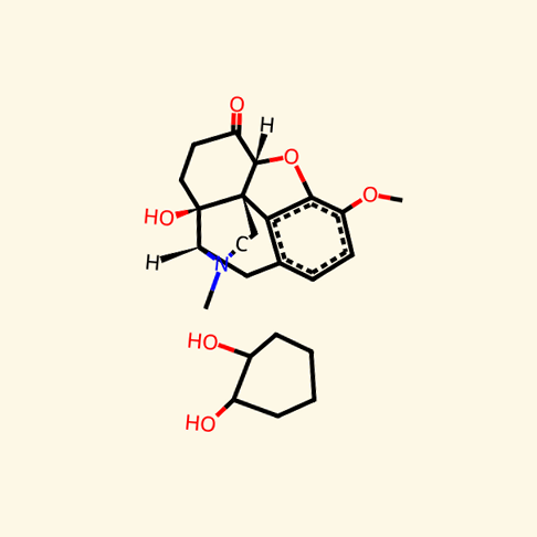 COc1ccc2c3c1O[C@H]1C(=O)CC[C@@]4(O)[C@@H](C2)N(C)CC[C@]314.OC1CCCCC1O